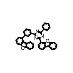 c1ccc(-c2nc(-c3cccc(-c4cccc5oc6ccccc6c45)c3)nc(-c3cccc4c3oc3ccccc34)n2)cc1